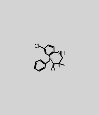 CC1(C)CNc2ccc(Cl)cc2N(c2ccccc2)C1=O